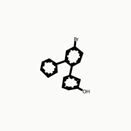 Oc1cccc(-c2ccc(Br)cc2-c2ccccc2)c1